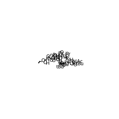 C=CCOC(=O)CNC(=O)C(=O)C(CCC)NC(=O)[C@@H]1C[C@@H](O[Si](C)(C)C(C)(C)C)CN1C(=O)[C@@H](NC(=O)[C@@H](NC(=O)[C@H](CCC(=O)OC(C)(C)C)NC(=O)[C@H](CCC(=O)OC(C)(C)C)NC(C)=O)C(C)C)C(C)C